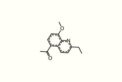 CCc1ccc2c(C(C)=O)ccc(OC)c2n1